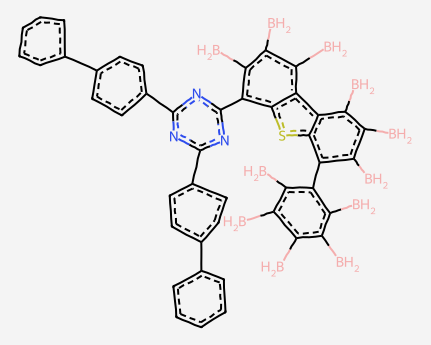 Bc1c(B)c(B)c(-c2c(B)c(B)c(B)c3c2sc2c(-c4nc(-c5ccc(-c6ccccc6)cc5)nc(-c5ccc(-c6ccccc6)cc5)n4)c(B)c(B)c(B)c23)c(B)c1B